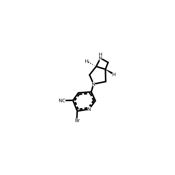 N#Cc1cc(N2C[C@H]3CN[C@@H]3C2)cnc1Br